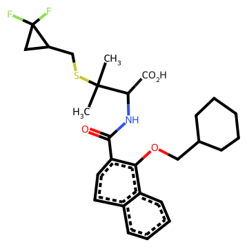 CC(C)(SCC1CC1(F)F)C(NC(=O)c1ccc2ccccc2c1OCC1CCCCC1)C(=O)O